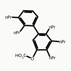 CCCc1cccc(-c2cc(OC(=O)O)c(CCC)c(CCC)c2CCC)c1CCC